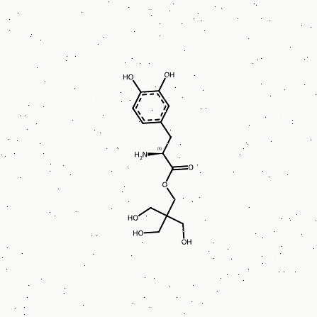 N[C@@H](Cc1ccc(O)c(O)c1)C(=O)OCC(CO)(CO)CO